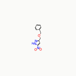 O=[N+]([O-])c1cc(COCc2ccccc2)n[nH]1